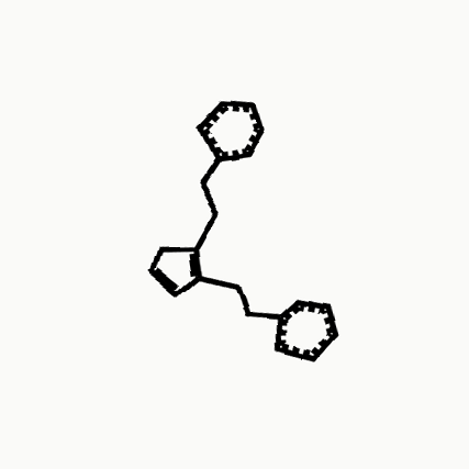 C1=CC(CCc2ccccc2)=C(CCc2ccccc2)C1